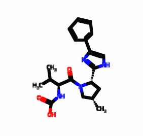 CC(C)[C@H](NC(=O)O)C(=O)N1C[C@@H](C)C[C@H]1c1nc(-c2ccccc2)c[nH]1